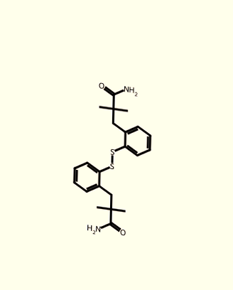 CC(C)(Cc1ccccc1SSc1ccccc1CC(C)(C)C(N)=O)C(N)=O